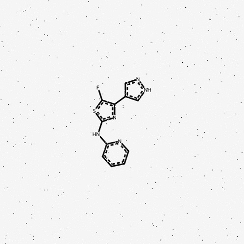 Fc1sc(Nc2ccccn2)nc1-c1cn[nH]c1